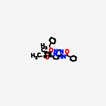 CC[C@H]1O[C@@H](c2ccc3c(NC(=O)c4ccccc4)ncnn23)[C@H](OCc2ccccc2)[C@@H]1C